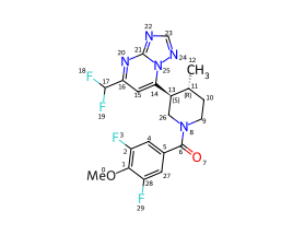 COc1c(F)cc(C(=O)N2CC[C@@H](C)[C@H](c3cc(C(F)F)nc4ncnn34)C2)cc1F